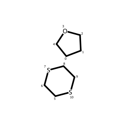 C1CCOC1.C1CSCCS1